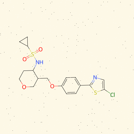 O=S(=O)(NC1CCOCC1COc1ccc(-c2ncc(Cl)s2)cc1)C1CC1